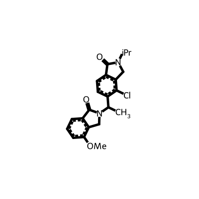 COc1cccc2c1CN(C(C)c1ccc3c(c1Cl)CN(C(C)C)C3=O)C2=O